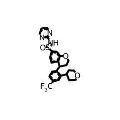 [O-][S+](Nc1ncccn1)c1ccc2c(c1)OCCC2c1ccc(C(F)(F)F)cc1C1CCOCC1